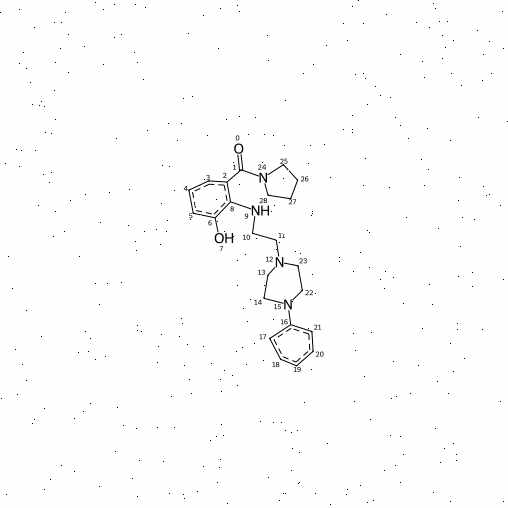 O=C(c1cccc(O)c1NCCN1CCN(c2ccccc2)CC1)N1CCCC1